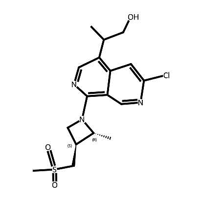 CC(CO)c1cnc(N2C[C@H](CS(C)(=O)=O)[C@H]2C)c2cnc(Cl)cc12